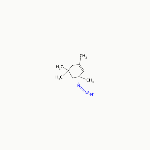 CC1=CC(C)(N=[N+]=[N-])CC(C)(C)C1